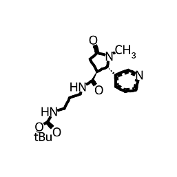 CN1C(=O)C[C@H](C(=O)NCCCNC(=O)OC(C)(C)C)[C@H]1c1cccnc1